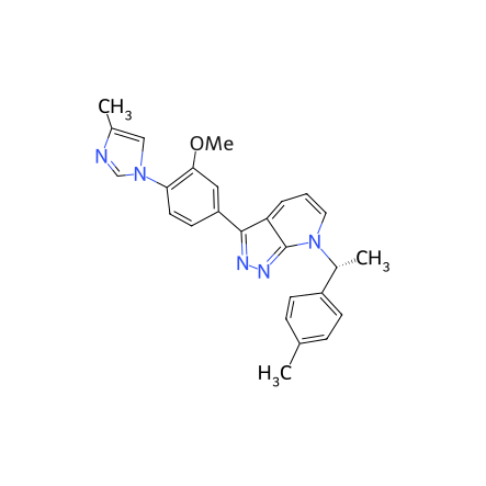 COc1cc(-c2nnc3n([C@H](C)c4ccc(C)cc4)cccc2-3)ccc1-n1cnc(C)c1